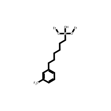 CCO[Si](O)(CCCCCCc1cccc(C(F)(F)F)c1)OCC